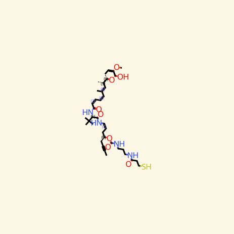 CC#CC[C@@H](C/C=C\NC(=O)[C@@H](NC(=O)\C=C/C=C\C(C)=C\[C@H](C)[C@@H]1CC=C(OC)C(O)O1)C(C)(C)C)OC(=O)NCCCNC(=O)CCS